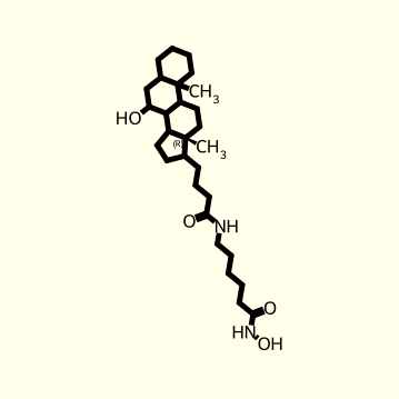 CC12CCCCC1CC(O)C1C2CC[C@]2(C)C(CCCC(=O)NCCCCCC(=O)NO)CCC12